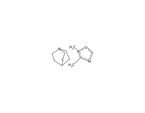 C1CN2CCC1CC2.Cc1nccn1C